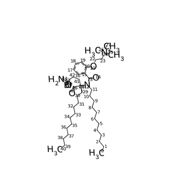 CCCCCCCCCCCCN(C(=O)c1ccccc1OCC[N+](C)(C)C)[C@@](CCCCCCCCCCCC)(CCC(N)=O)C(=O)Br